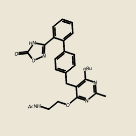 CCCCc1nc(C)nc(OCCNC(C)=O)c1Cc1ccc(-c2ccccc2-c2noc(=O)[nH]2)cc1